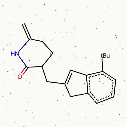 C=C1CCC(CC2=Cc3c(cccc3C(C)(C)C)C2)C(=O)N1